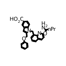 CCCC(N)=O.O=C(O)c1ccc2c(c1)cc(COc1ccccc1)n2Cc1cccc2cccnc12